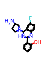 N[C@@H]1CCN(C2NC(c3ccccc3O)=Nc3ccc(F)cc32)C1